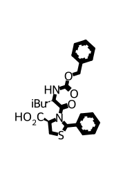 CCC(C)[C@H](NC(=O)OCc1ccccc1)C(=O)N1C(c2ccccc2)SC[C@H]1C(=O)O